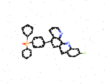 O=P(c1ccccc1)(c1ccccc1)c1ccc(-c2cc3cc4ccc(F)cc4nc3c3ncccc23)cc1